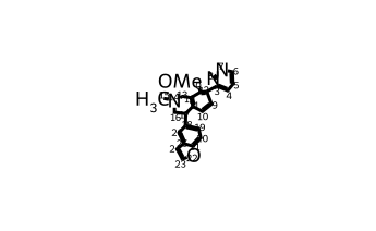 COc1c(-c2cccnn2)ccc2c1CN(C)CC2c1ccc2occc2c1